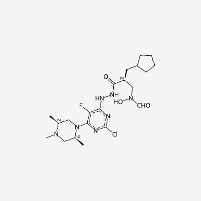 C[C@H]1CN(c2nc(Cl)nc(NNC(=O)[C@@H](CC3CCCC3)CN(O)C=O)c2F)[C@@H](C)CN1C